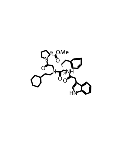 COC(=O)[C@H]1CCCN1C(=O)CN(CCC1CCCCC1)C(=O)[C@H](CCc1ccccc1)NC(=O)Cc1c[nH]c2ccccc12